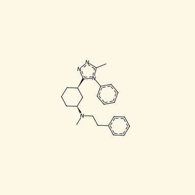 Cc1nnc([C@@H]2CCC[C@H](N(C)CCc3ccccc3)C2)n1-c1ccccc1